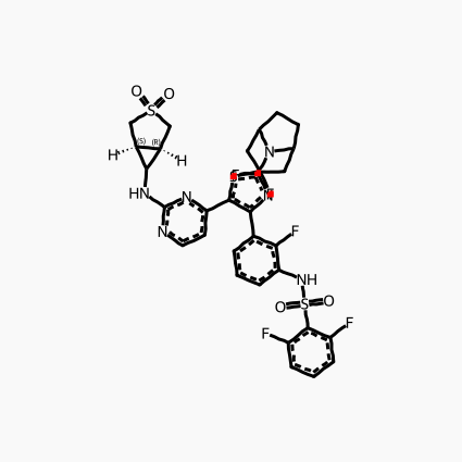 O=S1(=O)C[C@@H]2C(Nc3nccc(-c4sc(N5C6CCC5CC(F)(F)C6)nc4-c4cccc(NS(=O)(=O)c5c(F)cccc5F)c4F)n3)[C@@H]2C1